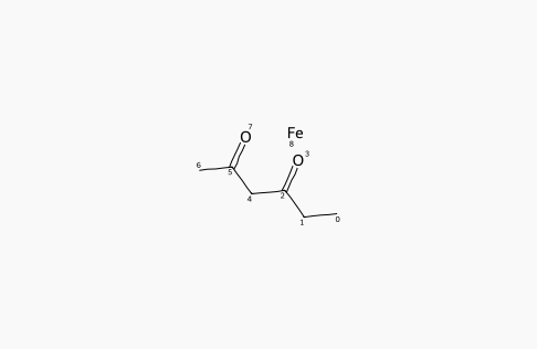 CCC(=O)CC(C)=O.[Fe]